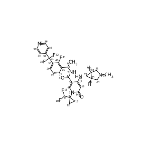 CC(NC(=O)c1cn(C2(C(F)F)CC2)c(=O)cc1N[C@@H]1[C@@H]2CN(C)C[C@@H]21)c1cccc(C(F)(F)c2ccncc2)c1F